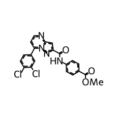 COC(=O)c1ccc(NC(=O)c2cc3nccc(-c4ccc(Cl)c(Cl)c4)n3n2)cc1